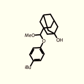 CCC(C)c1ccc(OC(OC)C23CC4CC(CC(O)(C4)C2)C3)cc1